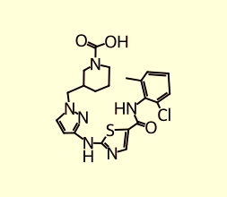 Cc1cccc(Cl)c1NC(=O)c1cnc(Nc2ccn(CC3CCCN(C(=O)O)C3)n2)s1